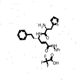 CCCNC(=O)/C=C/[C@H](CCc1ccccc1)NC(=O)[C@@H](N)Cc1cccs1.O=C(O)C(F)(F)F